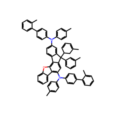 CC1=CC=CC(C2(c3cccc(C)c3)c3cc(N(c4ccc(C)cc4)c4ccc(-c5ccccc5C)cc4)ccc3-c3c2cc(N(c2ccc(C)cc2)c2ccc(-c4ccccc4C)cc2)c2c3oc3ccccc32)C1